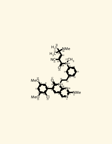 CNc1ncc2cc(-c3cc(OC)cc(OC)c3Cl)c(=O)n(CCc3cccc(N(C)C(=O)C(C#N)=CC(C)(C)NC)c3)c2n1